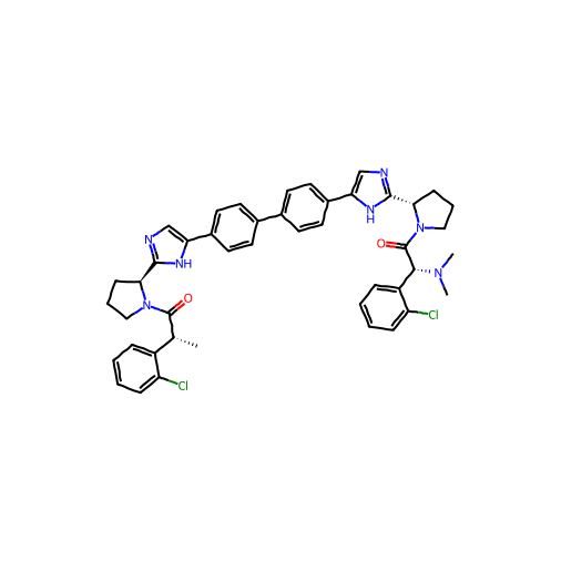 C[C@@H](C(=O)N1CCC[C@H]1c1ncc(-c2ccc(-c3ccc(-c4cnc([C@@H]5CCCN5C(=O)[C@@H](c5ccccc5Cl)N(C)C)[nH]4)cc3)cc2)[nH]1)c1ccccc1Cl